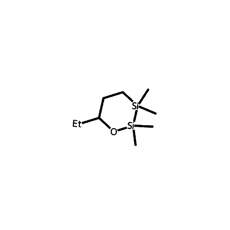 CCC1CC[Si](C)(C)[Si](C)(C)O1